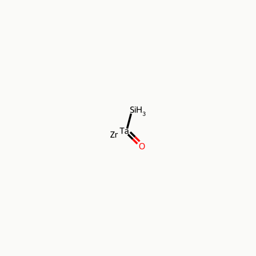 [O]=[Ta][SiH3].[Zr]